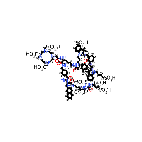 CC1(C)C(/C=C/C2=C(Oc3ccc(S(=O)(=O)O)cc3)C(=C/C=C3/N(CCCCS(=O)(=O)O)c4ccc(S(=O)(=O)O)cc4C3(C)C)/CCC2)=[N+](CCCCCC(=O)NCCCCC(NC(=O)CN2CCN(CC(=O)O)CCN(CC(=O)O)CCN(CC(=O)O)CC2)C(=O)NCC2CCC(C(=O)NC(Cc3ccc4ccccc4c3)C(=O)NCCCCC(NC(=O)NC(CCC(=O)O)C(=O)O)C(=O)O)CC2)c2ccc(S(=O)(=O)O)cc21